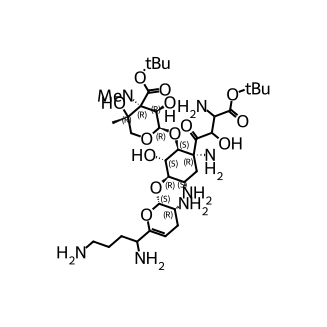 CN[C@]1(C(=O)OC(C)(C)C)[C@@H](O)[C@@H](O[C@@H]2[C@@H](O)[C@H](O[C@H]3OC(C(N)CCCN)=CC[C@H]3N)[C@@H](N)C[C@]2(N)C(=O)C(O)C(N)C(=O)OC(C)(C)C)OC[C@]1(C)O